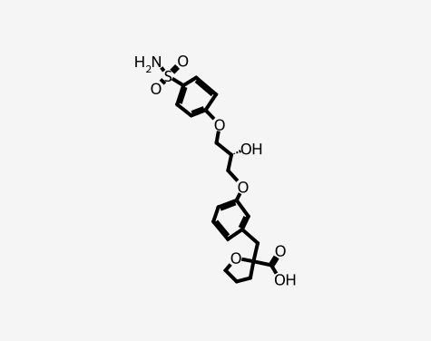 NS(=O)(=O)c1ccc(OC[C@H](O)COc2cccc(CC3(C(=O)O)CCCO3)c2)cc1